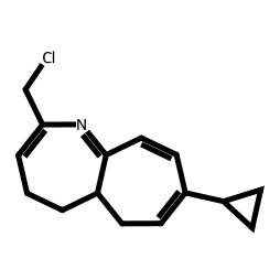 ClCC1=CCCC2CC=C(C3CC3)C=CC2=N1